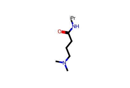 CC(C)NC(=O)CCCN(C)C